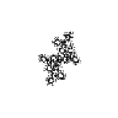 Cc1ccc(N(Cc2ccc3c(c2)c2c(N(c4ccccc4)c4ccc(C)cc4)ccc4c2n3c2ccc(N(c3ccccc3)c3ccc(C)cc3)c3c5cc(CN(c6ccccc6)c6ccc(C)cc6)ccc5n4c32)c2ccccc2)cc1